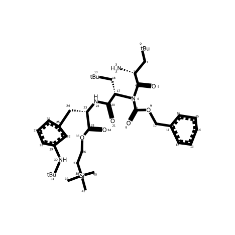 CC(C)(C)C[C@@H](N)C(=O)N(C(=O)OCc1ccccc1)[C@@H](CC(C)(C)C)C(=O)N[C@@H](Cc1cccc(NC(C)(C)C)c1)C(=O)OCC[Si](C)(C)C